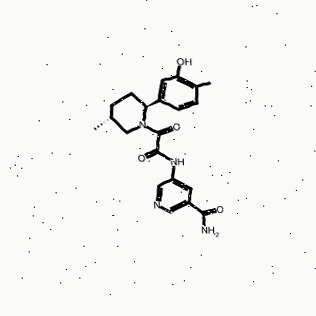 Cc1ccc([C@@H]2CC[C@@H](C)CN2C(=O)C(=O)Nc2cncc(C(N)=O)c2)cc1O